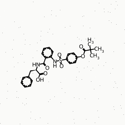 CC(C)(C)C(=O)Oc1ccc(S(=O)(=O)Nc2ccccc2C(=O)N[C@H](Cc2ccccc2)C(=O)O)cc1